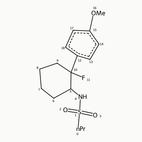 CCCS(=O)(=O)NC1CCCCC1(F)c1ccc(OC)cc1